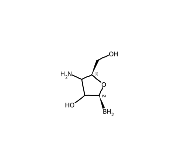 B[C@@H]1O[C@H](CO)C(N)C1O